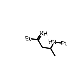 [CH2]CC(=N)CC(C)NCC